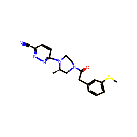 CSc1cccc(CC(=O)N2CCN(c3ccc(C#N)nn3)[C@H](C)C2)c1